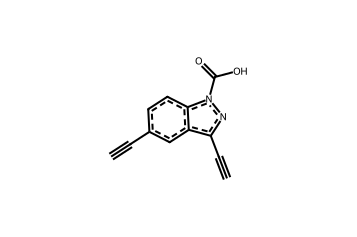 C#Cc1ccc2c(c1)c(C#C)nn2C(=O)O